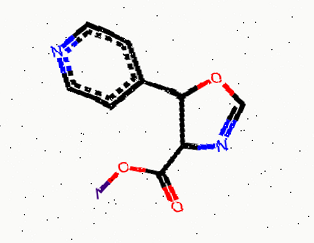 O=C(OI)C1N=COC1c1ccncc1